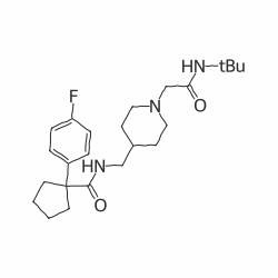 CC(C)(C)NC(=O)CN1CCC(CNC(=O)C2(c3ccc(F)cc3)CCCC2)CC1